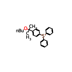 CCCCOC(C)(C)c1ccc([S+](c2ccccc2)c2ccccc2)cc1